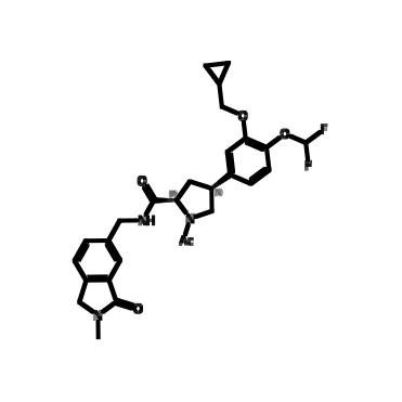 CC(=O)N1C[C@H](c2ccc(OC(F)F)c(OCC3CC3)c2)C[C@@H]1C(=O)NCc1ccc2c(c1)C(=O)N(C)C2